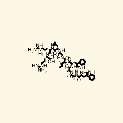 CC[C@H](C)[C@H](NC(=O)[C@H](Cc1c[nH]c2ccccc12)NC(=O)[C@H](C)NC(=O)[C@H](C)NC(=O)[C@@H](N)Cc1c[nH]c2ccccc12)C(=O)NCC(=O)N[C@@H](CC(C)C)C(=O)N[C@@H](CCCNC(=N)N)C(=O)N[C@@H](CCCNC(=N)N)C(=O)O